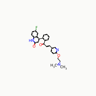 CN(C)CCOc1ccc(/C=C/C(=O)c2ccccc2-c2cc(=O)[nH]c3ccc(F)cc23)cn1